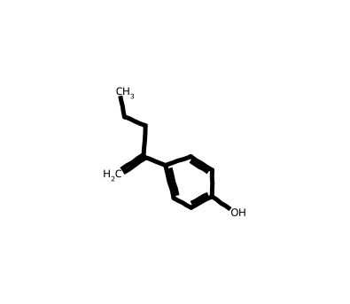 C=C(CCC)c1ccc(O)cc1